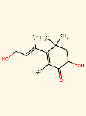 CC1=C(/C(C)=C/CO)C(C)(C)CC(O)C1=O